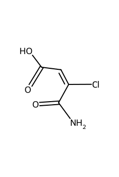 NC(=O)/C(Cl)=C\C(=O)O